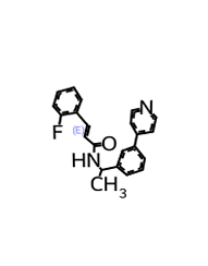 CC(NC(=O)/C=C/c1ccccc1F)c1cccc(-c2ccncc2)c1